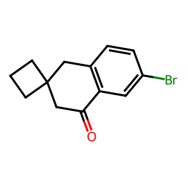 O=C1CC2(CCC2)Cc2ccc(Br)cc21